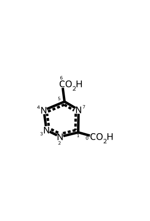 O=C(O)c1nnnc(C(=O)O)n1